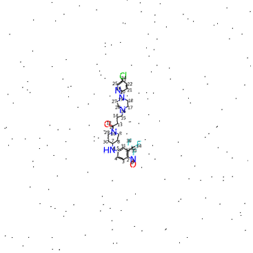 O=Nc1ccc(NC2CCN(C(=O)CCCN3CCN(c4ccc(Cl)cn4)CC3)CC2)cc1C(F)(F)F